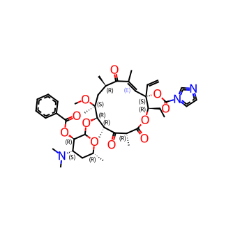 C=C[C@]1(OC(=O)n2ccnc2)/C=C(\C)C(=O)[C@H](C)C[C@](C)(OC)[C@H](OC2O[C@H](C)C[C@H](N(C)C)[C@H]2OC(=O)c2ccccc2)[C@@H](C)C(=O)[C@@H](C)C(=O)O[C@@H]1CC